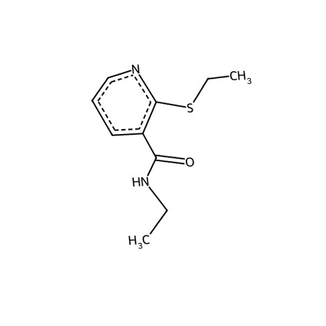 CCNC(=O)c1cccnc1SCC